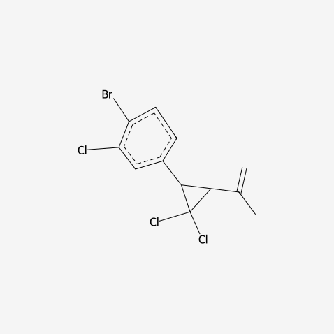 C=C(C)C1C(c2ccc(Br)c(Cl)c2)C1(Cl)Cl